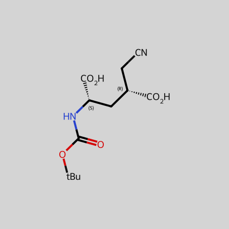 CC(C)(C)OC(=O)N[C@@H](C[C@H](CC#N)C(=O)O)C(=O)O